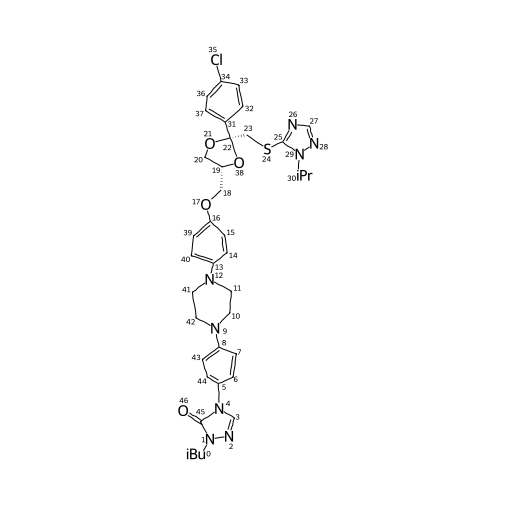 CCC(C)n1ncn(-c2ccc(N3CCN(c4ccc(OC[C@@H]5CO[C@@](CSc6ncnn6C(C)C)(c6ccc(Cl)cc6)O5)cc4)CC3)cc2)c1=O